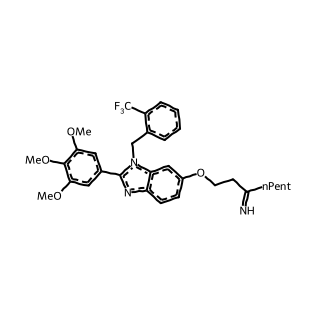 CCCCCC(=N)CCOc1ccc2nc(-c3cc(OC)c(OC)c(OC)c3)n(Cc3ccccc3C(F)(F)F)c2c1